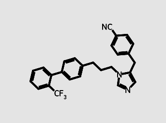 N#Cc1ccc(Cc2cncn2CCCc2ccc(-c3ccccc3C(F)(F)F)cc2)cc1